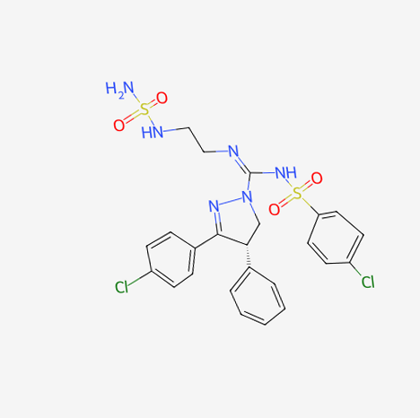 NS(=O)(=O)NCC/N=C(/NS(=O)(=O)c1ccc(Cl)cc1)N1C[C@H](c2ccccc2)C(c2ccc(Cl)cc2)=N1